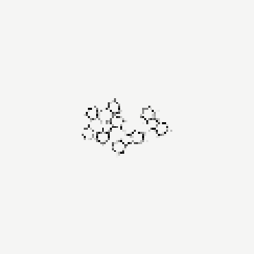 C1=CCCC(c2cccc(-c3ccccc3)c2-n2c3ccccc3c3c(-n4c5ccccc5c5ccc(-n6c7ccccc7c7ccccc76)cc54)cccc32)=C1